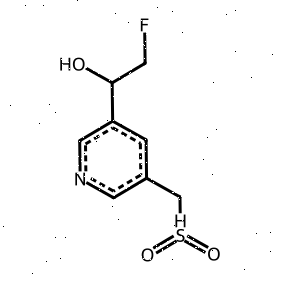 O=[SH](=O)Cc1cncc(C(O)CF)c1